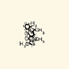 Cc1csc2c1c(=O)c1c(=O)n(-c3ccccc3)c(C(C)C)cc1n2C